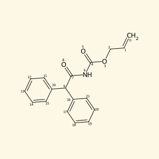 C=CCOC(=O)NC(=O)C(c1ccccc1)c1ccccc1